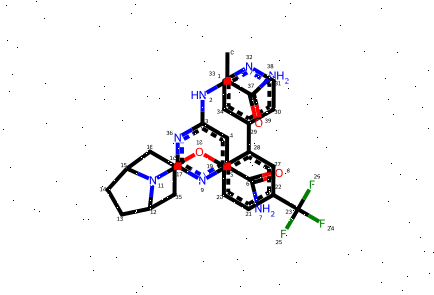 CC(Nc1cc(C(N)=O)nc(N2C3CCC2CC(Oc2ccc(C(F)(F)F)cc2-c2ccncc2)C3)n1)C(N)=O